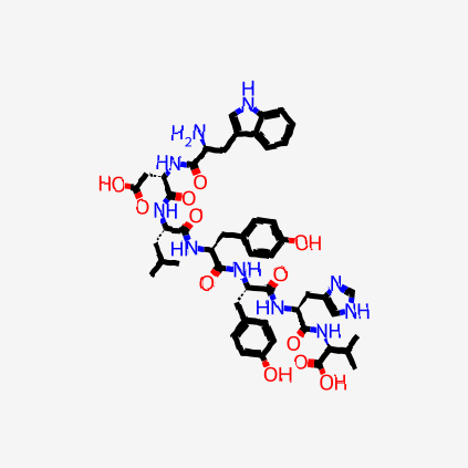 CC(C)C[C@H](NC(=O)[C@H](CC(=O)O)NC(=O)[C@@H](N)Cc1c[nH]c2ccccc12)C(=O)N[C@@H](Cc1ccc(O)cc1)C(=O)N[C@@H](Cc1ccc(O)cc1)C(=O)N[C@@H](Cc1c[nH]cn1)C(=O)N[C@H](C(=O)O)C(C)C